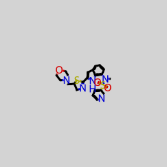 CN(c1cccc2cc(C3=NCC(CN4CCOCC4)S3)[nH]c12)S(=O)(=O)c1cccnc1